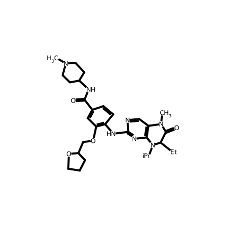 CCC1C(=O)N(C)c2cnc(Nc3ccc(C(=O)NC4CCN(C)CC4)cc3OCC3CCCO3)nc2N1C(C)C